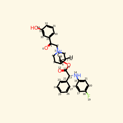 O=C(C[N+]12CCC(CC1)[C@@H](OC(=O)[C@H](Nc1ccc(F)cc1)c1ccccc1)C2)c1cccc(O)c1